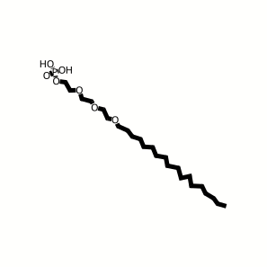 CCCCCCCCCCCCCCCCCCOCCOCCOCCOP(=O)(O)O